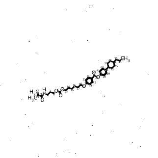 C=C(C)C(=O)PCCCOC(=O)OCCCCCCOc1ccc(C(=O)Oc2ccc(C3CCC(CCC)CC3)cc2)cc1